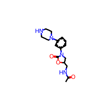 CC(=O)NCC1CN(c2cccc(N3CCNCC3)c2)C(=O)O1